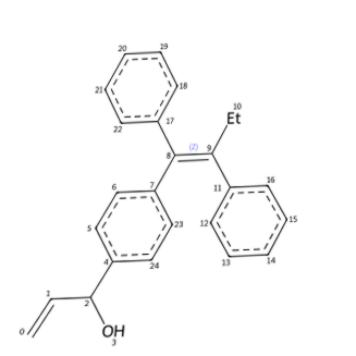 C=CC(O)c1ccc(/C(=C(/CC)c2ccccc2)c2ccccc2)cc1